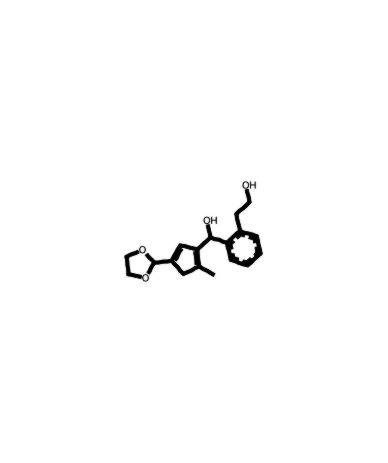 CC1=C(C(O)c2ccccc2CCO)C=C(C2OCCO2)C1